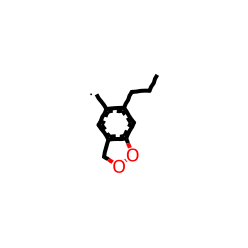 [CH2]c1cc2c(cc1CCC)OOC2